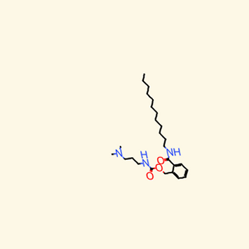 CCCCCCCCCCCCNC(=O)c1ccccc1COC(=O)NCCCN(C)C